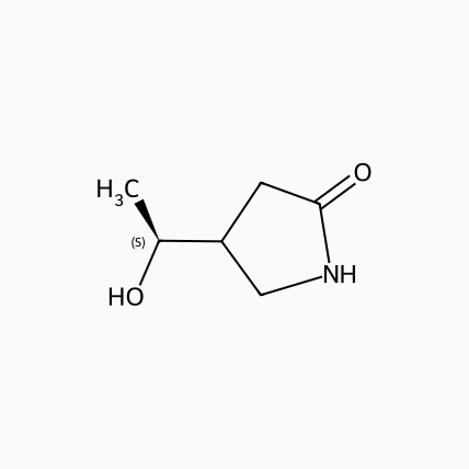 C[C@H](O)C1CNC(=O)C1